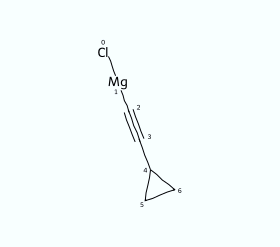 [Cl][Mg][C]#CC1CC1